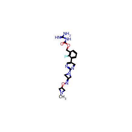 CN1CC(ON=C2CN(c3ncc(-c4cccc(COC(=O)NC(=N)N)c4F)cn3)C2)C1